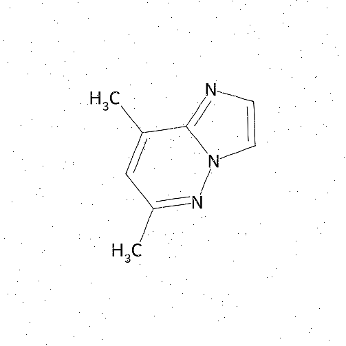 Cc1cc(C)c2nccn2n1